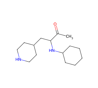 CC(=O)C(CC1CCNCC1)NC1CCCCC1